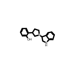 Oc1ccccc1C1CCN(C2CNc3ccccc32)C1